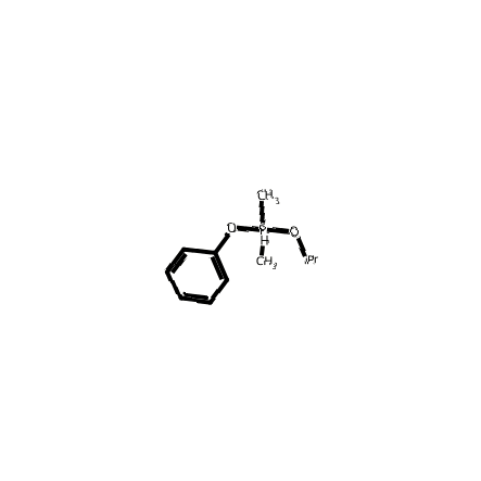 CC(C)O[PH](C)(C)Oc1ccccc1